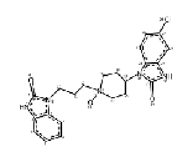 O=c1[nH]c2ccccc2n1CCC[N+]1([O-])CCC(n2c(=O)[nH]c3cc(Cl)ccc32)CC1